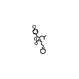 CC(C)CC1C(c2ccc(Cl)cc2)OC(=O)N1CCCN1CCCCC1